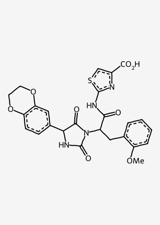 COc1ccccc1CC(C(=O)Nc1nc(C(=O)O)cs1)N1C(=O)NC(c2ccc3c(c2)OCCO3)C1=O